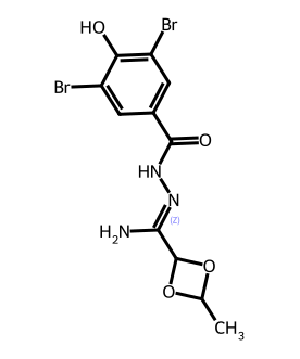 CC1OC(/C(N)=N/NC(=O)c2cc(Br)c(O)c(Br)c2)O1